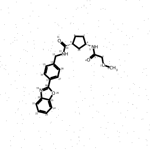 COCC(=O)N[C@H]1CC[C@@H](C(=O)NCc2ccc(-c3nc4ccccc4o3)cc2)C1